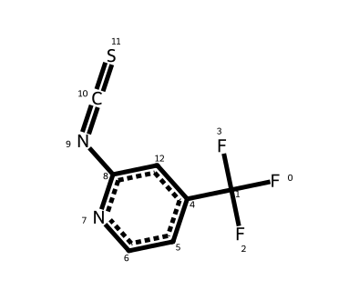 FC(F)(F)c1ccnc(N=C=S)c1